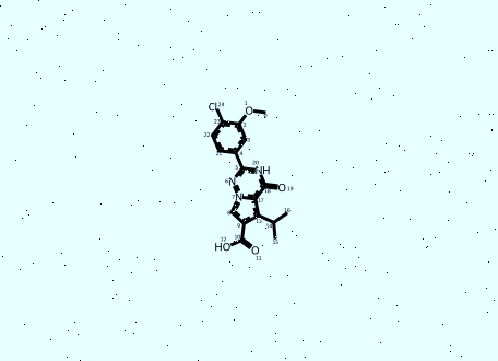 COc1cc(-c2nn3cc(C(=O)O)c(C(C)C)c3c(=O)[nH]2)ccc1Cl